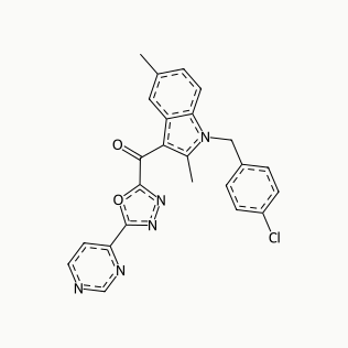 Cc1ccc2c(c1)c(C(=O)c1nnc(-c3ccncn3)o1)c(C)n2Cc1ccc(Cl)cc1